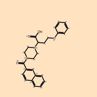 O=C(O)C(CCOc1ccccc1)N1CCN(C(=O)c2ccc3ccccc3c2)CC1